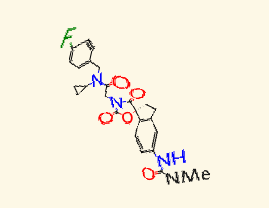 CNC(=O)Nc1ccc2c(c1)CC[C@@]21OC(=O)N(CC(=O)N(Cc2ccc(F)cc2)C2CC2)C1=O